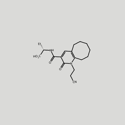 CC[C@H](NC(=O)c1cc2c(n(CCC#N)c1=O)CCCCCC2)C(=O)O